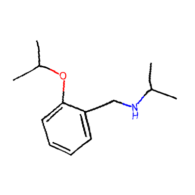 CC(C)NCc1ccccc1OC(C)C